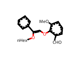 CCCCCCOC(=COc1c(C=O)cccc1OC)c1ccccc1